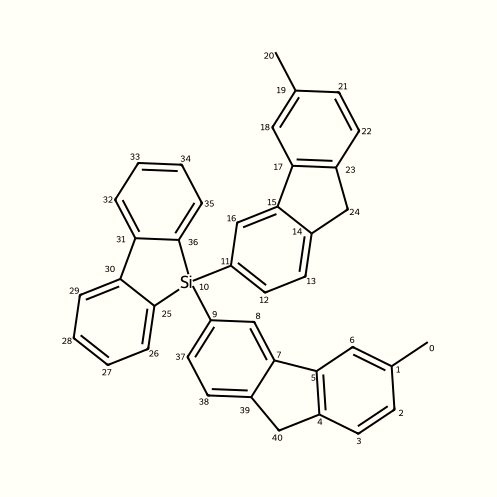 Cc1ccc2c(c1)-c1cc([Si]3(c4ccc5c(c4)-c4cc(C)ccc4C5)c4ccccc4-c4ccccc43)ccc1C2